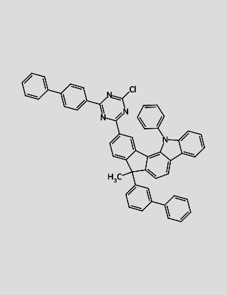 CC1(c2cccc(-c3ccccc3)c2)c2ccc(-c3nc(Cl)nc(-c4ccc(-c5ccccc5)cc4)n3)cc2-c2c1ccc1c3ccccc3n(-c3ccccc3)c21